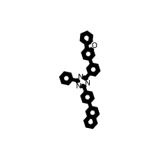 c1ccc(-c2nc(-c3ccc(-c4ccc5ccccc5c4)cc3)nc(-c3cccc(-c4ccc5c(c4)oc4ccccc45)c3)n2)cc1